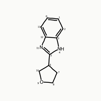 c1ccc2[nH]c(C3CCOC3)nc2c1